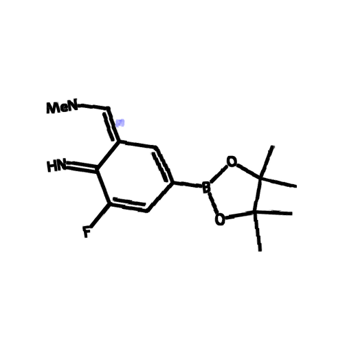 CN/C=C1/C=C(B2OC(C)(C)C(C)(C)O2)C=C(F)C1=N